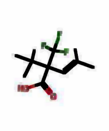 CC(C)=CC(C(=O)O)(C(C)(C)C)C(F)(F)F